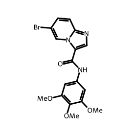 COc1cc(NC(=O)c2cnc3ccc(Br)cn23)cc(OC)c1OC